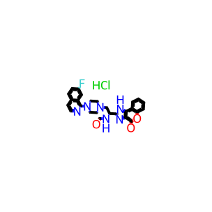 Cl.O=CNC(CN1CCN(c2nccc3ccc(F)cc23)CC1)c1nc2c(=O)oc3ccccc3c2[nH]1